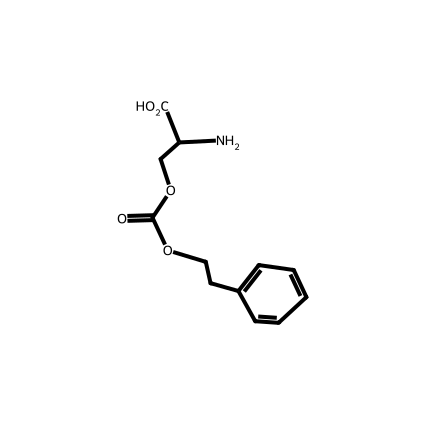 NC(COC(=O)OCCc1ccccc1)C(=O)O